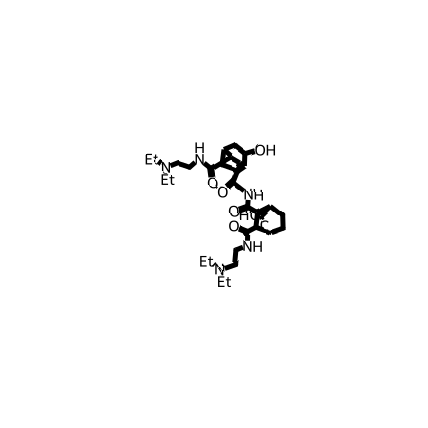 CCN(CC)CCNC(=O)C1C2CCC(C(O)C2)C1C(=O)NC(=O)C1C2CCC(CC2O)C1C(=O)NCCN(CC)CC